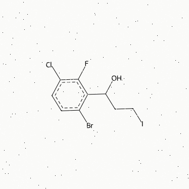 OC(CCI)c1c(Br)ccc(Cl)c1F